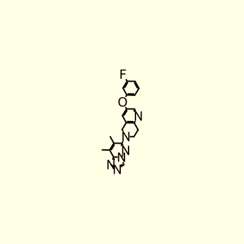 Cc1c(N2CCc3ncc(Oc4cccc(F)c4)cc3C2)nn2cnnc2c1C